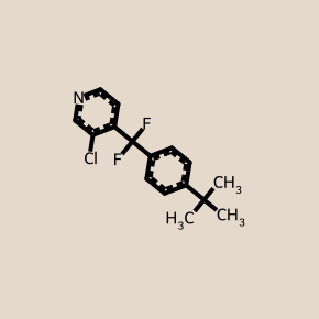 CC(C)(C)c1ccc(C(F)(F)c2ccncc2Cl)cc1